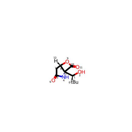 CC(C)(C)[C@H](O)[C@@]12NC(=O)C[C@@H]1OC2=O